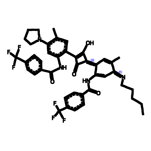 CCCCC/N=C1C=C(NC(=O)c2ccc(C(F)(F)F)cc2)/C(=C2\C(=O)C(c3cc(C)c(N4CCCC4)cc3NC(=O)c3ccc(C(F)(F)F)cc3)=C2O)C=C\1C